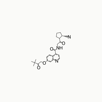 CC(C)(C)C(=O)COc1ccc2c(C(=O)NCC(=O)C3CCC[C@H]3C#N)ccnc2c1